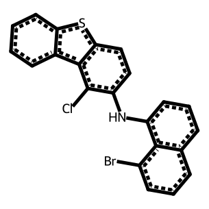 Clc1c(Nc2cccc3cccc(Br)c23)ccc2sc3ccccc3c12